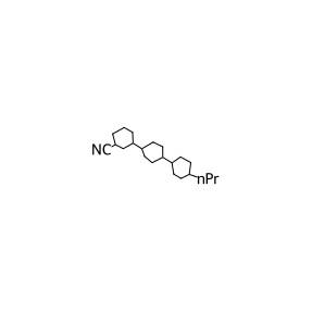 CCCC1CCC(C2CCC(C3CCCC(C#N)C3)CC2)CC1